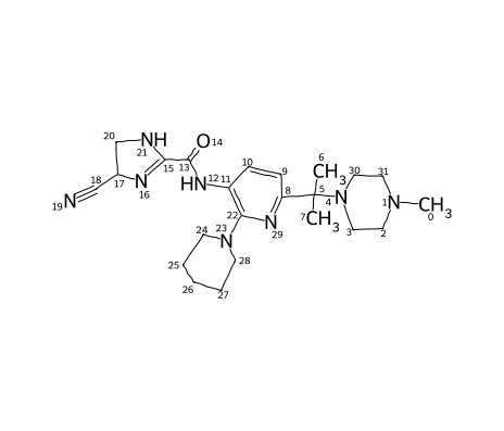 CN1CCN(C(C)(C)c2ccc(NC(=O)C3=NC(C#N)CN3)c(N3CCCCC3)n2)CC1